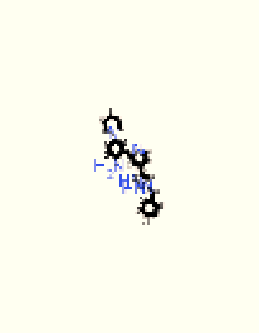 Nc1ccc(N2CCCCC2)cc1-c1cc(C2=CN(Cc3ccccc3)NN2)ccn1